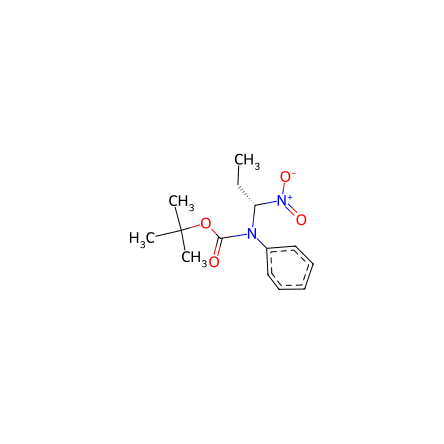 CC[C@@H](N(C(=O)OC(C)(C)C)c1ccccc1)[N+](=O)[O-]